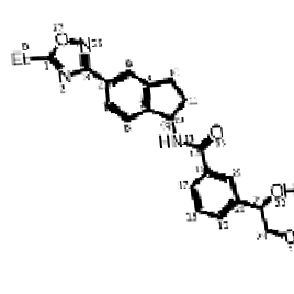 CCc1nc(-c2ccc3c(c2)CC[C@H]3NC(=O)c2cccc(C(O)CO)c2)no1